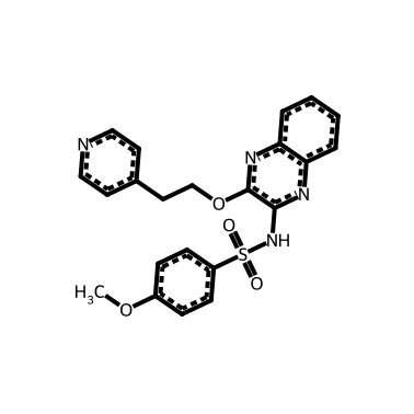 COc1ccc(S(=O)(=O)Nc2nc3ccccc3nc2OCCc2ccncc2)cc1